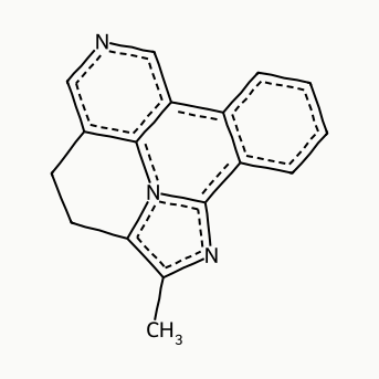 Cc1nc2c3ccccc3c3cncc4c3n2c1CC4